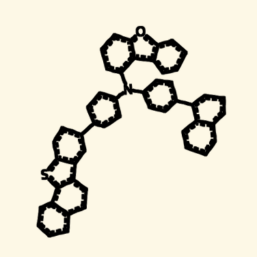 c1ccc2c(-c3ccc(N(c4ccc(-c5ccc6sc7c8ccccc8ccc7c6c5)cc4)c4cccc5oc6ccccc6c45)cc3)cccc2c1